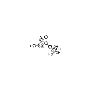 OC[C@H]1O[C@@H](c2ccc(-c3ccc([C@@H]4[C@H](CC[C@H](O)c5ccc(F)cc5)SC(=S)N4c4ccccc4)c(O)c3)cc2)[C@H](O)[C@@H](O)[C@@H]1O